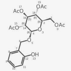 CC(=O)OC[C@H]1O[C@@H](OCc2ccccc2O)[C@H](OC(C)=O)[C@@H](OC(C)=O)[C@@H]1OC(C)=O